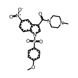 COc1ccc(S(=O)(=O)n2cc(C(=O)N3CCN(C)CC3)c3cc([N+](=O)[O-])ccc32)cc1